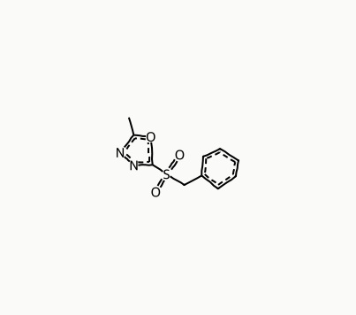 Cc1nnc(S(=O)(=O)Cc2ccccc2)o1